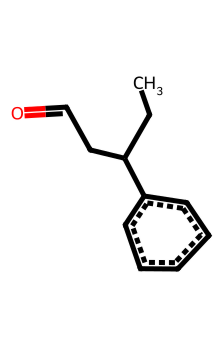 CCC(CC=O)c1ccccc1